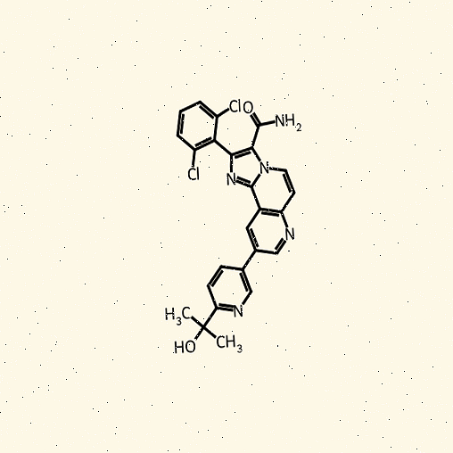 CC(C)(O)c1ccc(-c2cnc3ccn4c(C(N)=O)c(-c5c(Cl)cccc5Cl)nc4c3c2)cn1